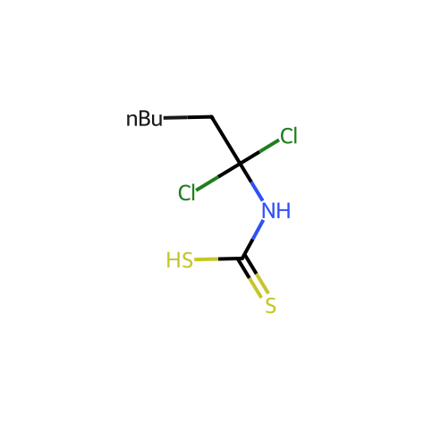 CCCCCC(Cl)(Cl)NC(=S)S